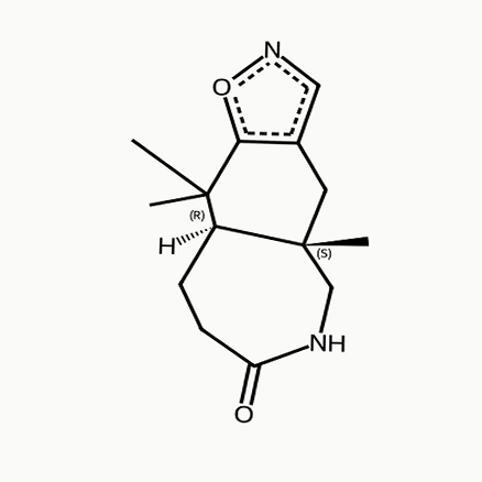 CC1(C)c2oncc2C[C@]2(C)CNC(=O)CC[C@@H]12